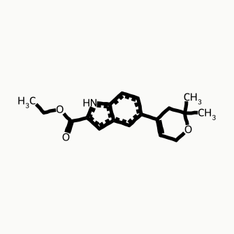 CCOC(=O)c1cc2cc(C3=CCOC(C)(C)C3)ccc2[nH]1